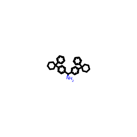 NC(c1ccc(C2(c3ccccc3)CCCCC2)cc1)c1ccc(C2(c3ccccc3)CCCCC2)cc1